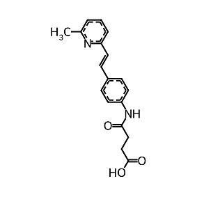 Cc1cccc(C=Cc2ccc(NC(=O)CCC(=O)O)cc2)n1